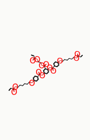 C=CC(=O)OCCCCCCOc1ccc(C(=O)Oc2ccc(OC(=O)c3ccc(OCCCCCCOC(=O)C=C)cc3)c(C(=O)OCCOC(=O)C=C)c2)cc1